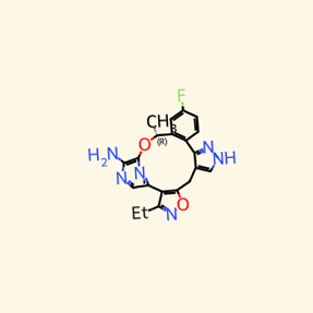 CCc1noc2c1-c1cnc(N)c(n1)O[C@H](C)c1cc(F)ccc1-c1n[nH]cc1C2